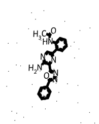 CC(=O)Nc1ccccc1-c1cnc(N)c(-c2nnc(-c3ccccc3)o2)n1